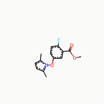 COC(=O)c1cc(On2c(C)ccc2C)ccc1F